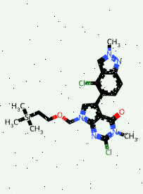 Cn1cc2c(Cl)c(-c3cn(COCC[Si](C)(C)C)c4nc(Cl)n(C)c(=O)c34)ccc2n1